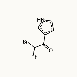 CCC(Br)C(=O)c1cc[nH]c1